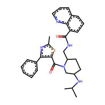 Cc1nc(-c2ccccc2)c(C(=O)N2CC(NC(C)C)CCC2CNC(=O)c2cccc3cccnc23)s1